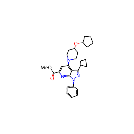 COC(=O)c1cc(N2CCC(OC3CCCC3)CC2)c2c(C3CCC3)nn(-c3ccccc3)c2n1